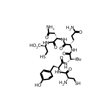 CC[C@H](C)[C@H](NC(=O)[C@H](Cc1ccc(O)cc1)NC(=O)[C@@H](N)CS)C(=O)N[C@@H](CCC(N)=O)C(=O)N[C@@H](CC(N)=O)C(=O)N[C@@H](CS)C(=O)O